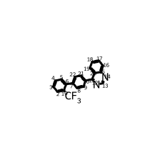 FC(F)(F)c1ccccc1-c1ccc(-c2ncnc3ccccc23)cc1